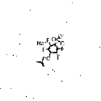 C=C(C)COc1c(F)c(F)c(S(=O)(=O)[O-])c(F)c1F.[Na+]